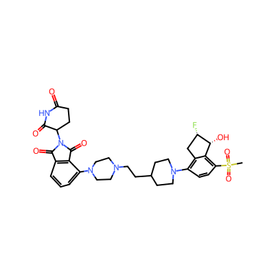 CS(=O)(=O)c1ccc(N2CCC(CCN3CCN(c4cccc5c4C(=O)N(C4CCC(=O)NC4=O)C5=O)CC3)CC2)c2c1[C@@H](O)[C@@H](F)C2